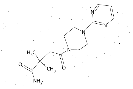 CC(C)(CC(=O)N1CCN(c2ncccn2)CC1)C(N)=O